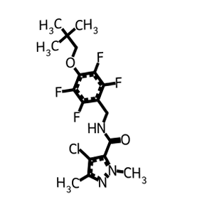 Cc1nn(C)c(C(=O)NCc2c(F)c(F)c(OCC(C)(C)C)c(F)c2F)c1Cl